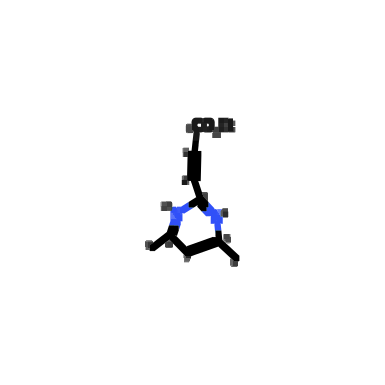 CCOC(=O)C#Cc1nc(C)cc(C)n1